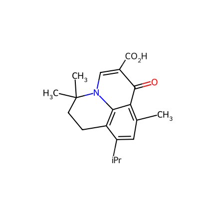 Cc1cc(C(C)C)c2c3c1c(=O)c(C(=O)O)cn3C(C)(C)CC2